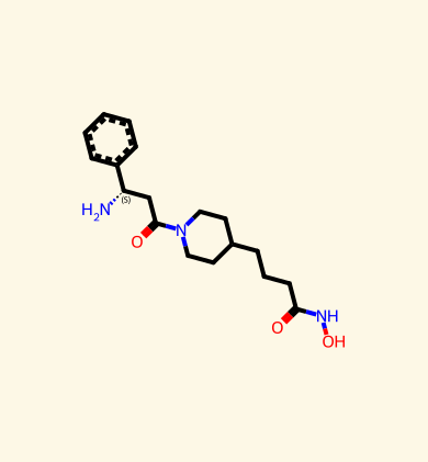 N[C@@H](CC(=O)N1CCC(CCCC(=O)NO)CC1)c1ccccc1